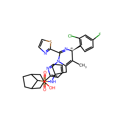 CC1=C2CC(NS(=O)(=O)C3C4CCC3CC(O)(c3ccccn3)C4)CN2C(c2nccs2)=N[C@H]1c1ccc(F)cc1Cl